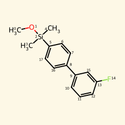 CO[Si](C)(C)c1ccc(-c2cccc(F)c2)cc1